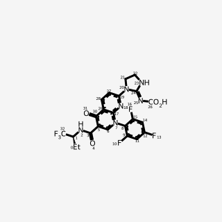 CC[C@H](NC(=O)c1cn(-c2c(F)cc(F)cc2F)c2nc(N3CCN/C3=N\C(=O)O)ccc2c1=O)C(F)(F)F